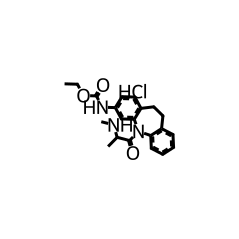 CCOC(=O)Nc1ccc2c(c1)N(C(=O)C(C)NC)c1ccccc1CC2.Cl